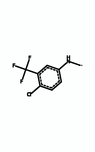 [CH2]Nc1ccc(Cl)c(C(F)(F)F)c1